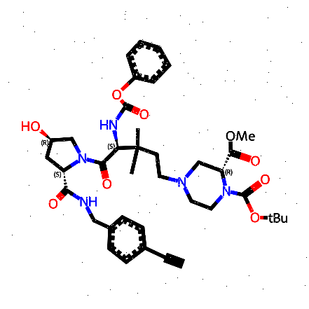 C#Cc1ccc(CNC(=O)[C@@H]2C[C@@H](O)CN2C(=O)[C@@H](NC(=O)Oc2ccccc2)C(C)(C)CCN2CCN(C(=O)OC(C)(C)C)[C@@H](C(=O)OC)C2)cc1